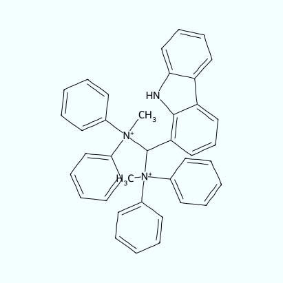 C[N+](c1ccccc1)(c1ccccc1)C(c1cccc2c1[nH]c1ccccc12)[N+](C)(c1ccccc1)c1ccccc1